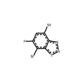 Fc1cc(S)c2nnsc2c1Br